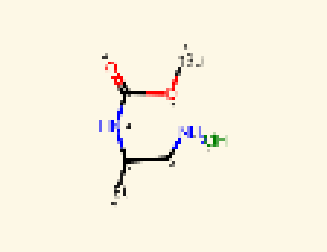 CCC(CN)NC(=O)OC(C)(C)C.Cl